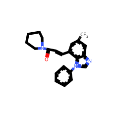 O=C(C=Cc1cc(C(F)(F)F)cc2ncn(-c3ccccc3)c12)N1CCCCC1